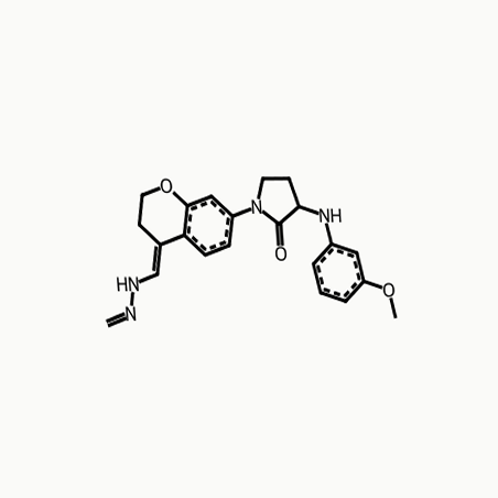 C=NN/C=C1\CCOc2cc(N3CCC(Nc4cccc(OC)c4)C3=O)ccc21